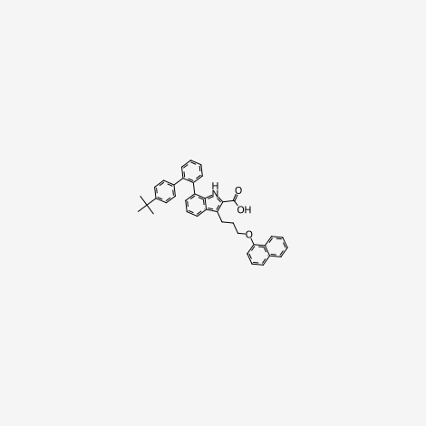 CC(C)(C)c1ccc(-c2ccccc2-c2cccc3c(CCCOc4cccc5ccccc45)c(C(=O)O)[nH]c23)cc1